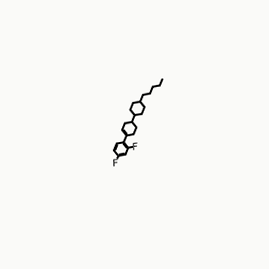 CCCCCC1CCC(C2CC=C(c3ccc(F)cc3F)CC2)CC1